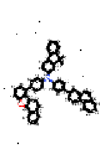 CC1(C)c2ccccc2-c2ccc(N(c3ccc(-c4ccc5c(ccc6ccccc65)c4)cc3)c3ccc(-c4cccc5oc6c7ccccc7ccc6c45)cc3)cc21